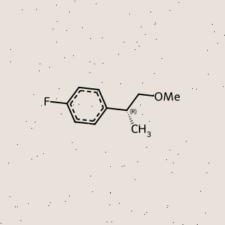 COC[C@H](C)c1ccc(F)cc1